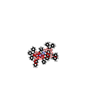 O=C(NC[C@@H]1O[C@H](COCc2ccccc2)[C@@H](OCc2ccccc2)[C@H](OCc2ccccc2)[C@H]1OCc1ccccc1)C(c1ccccc1)N(C[C@@H]1O[C@H](COCc2ccccc2)[C@@H](OCc2ccccc2)[C@H](OCc2ccccc2)[C@H]1OCc1ccccc1)C(=O)[C@@H]1O[C@H](COCc2ccccc2)[C@@H](OCc2ccccc2)[C@H](OCc2ccccc2)[C@H]1OCc1ccccc1